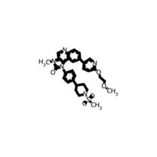 COCCOc1ccc(-c2ccc3ncc4c(c3c2)n(-c2ccc(C3CCN(S(C)(=O)=O)CC3)cc2)c(=O)n4C)cn1